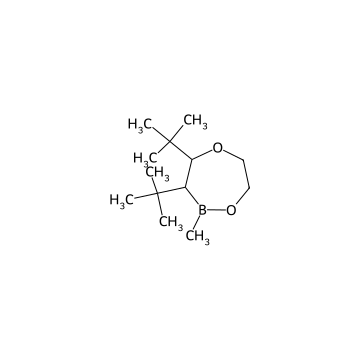 CB1OCCOC(C(C)(C)C)C1C(C)(C)C